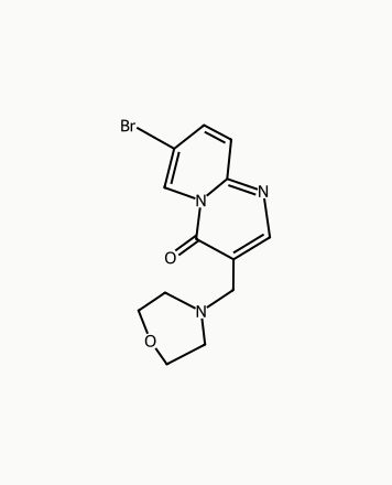 O=c1c(CN2CCOCC2)cnc2ccc(Br)cn12